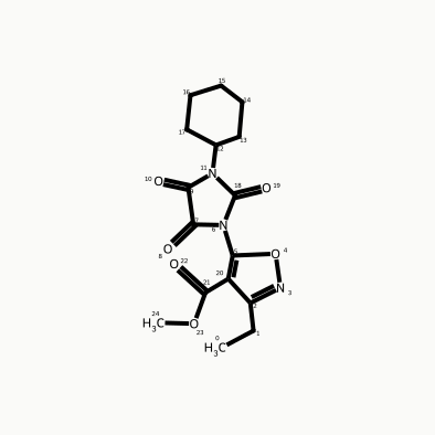 CCc1noc(N2C(=O)C(=O)N(C3CCCCC3)C2=O)c1C(=O)OC